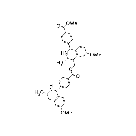 COC(=O)c1ccc([C@@H]2N[C@@H](C)C(COC(=O)c3ccc([C@H]4N[C@@H](C)Cc5cc(OC)ccc54)cc3)c3cc(OC)ccc32)cc1